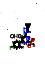 Cc1cc(F)ccc1-c1nc(S(C)(=O)=O)nc(NCC2CC2)c1C=O